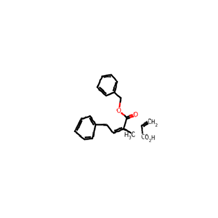 C=CC(=O)O.CC(=CCc1ccccc1)C(=O)OCc1ccccc1